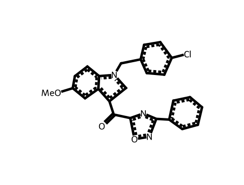 COc1ccc2c(c1)c(C(=O)c1nc(-c3ccccc3)no1)cn2Cc1ccc(Cl)cc1